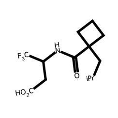 CC(C)CC1(C(=O)NC(CC(=O)O)C(F)(F)F)CCC1